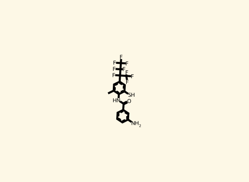 Cc1cc(C(F)(C(F)(F)F)C(F)(F)C(F)(F)F)cc(S)c1NC(=O)c1cccc(N)c1